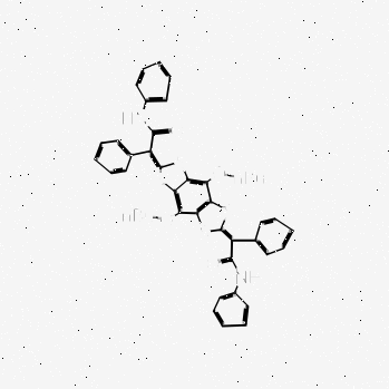 CCCCOc1c2c(c(OCCCC)c3c1SC(=C(C(=O)Nc1ccccc1)c1ccccc1)S3)SC(=C(C(=O)Nc1ccccc1)c1ccccc1)S2